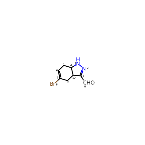 O=CC1=NNC2CC=C(Br)CC12